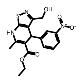 CCOC(=O)C1=C(C)Nc2snc(CO)c2C1c1cccc([N+](=O)[O-])c1